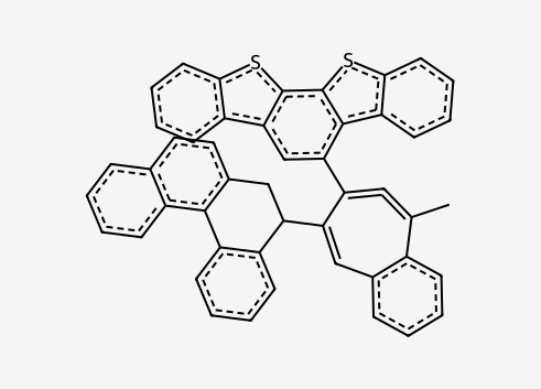 CC1=C=C(c2cc3c4ccccc4sc3c3sc4ccccc4c23)C(C2Cc3ccc4ccccc4c3-c3ccccc32)=Cc2ccccc21